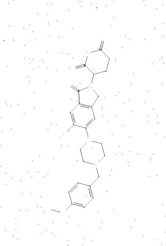 COc1ccc(CN2CCN(c3cc4c(cc3F)C(=O)N(C3CCC(=O)NC3=O)C4)CC2)cc1